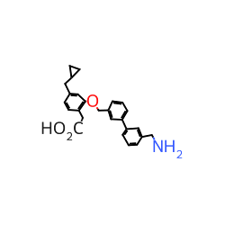 NCc1cccc(-c2cccc(COc3cc(CC4CC4)ccc3CC(=O)O)c2)c1